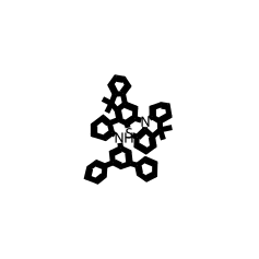 CC1(C)c2ccccc2N2c3cc4c(c(-c5ccccc5Nc5cc(-c6ccccc6)cc(-c6ccccc6)c5)c3Sc3cccc1c32)C(C)(C)c1ccccc1-4